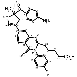 CC1(C(O)c2ccc(N)cc2)CC(c2ccc3c(=O)n(-c4ccc(F)cc4)c(CCCCC(=O)O)nc3c2)=NO1